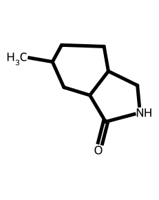 CC1CCC2CNC(=O)C2C1